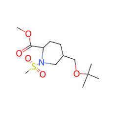 COC(=O)C1CCC(COC(C)(C)C)CN1S(C)(=O)=O